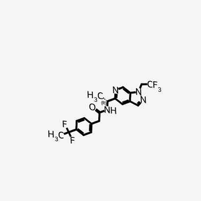 C[C@@H](NC(=O)Cc1ccc(C(C)(F)F)cc1)c1cc2cnn(CC(F)(F)F)c2cn1